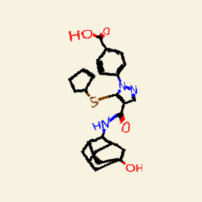 O=C(O)c1ccc(-n2ncc(C(=O)NC3C4CC5CC3CC(O)(C5)C4)c2SC2CCCC2)cc1